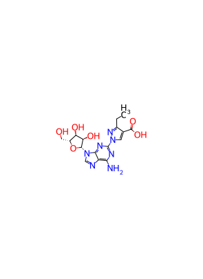 CCc1nn(-c2nc(N)c3ncn([C@@H]4O[C@H](CO)[C@@H](O)[C@H]4O)c3n2)cc1C(=O)O